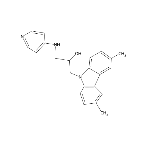 Cc1ccc2c(c1)c1cc(C)ccc1n2CC(O)CNc1ccncc1